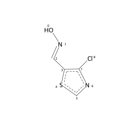 O/N=C/c1scnc1Cl